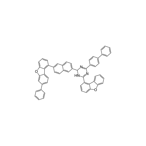 c1ccc(-c2ccc(C3=NC(c4ccc5cc(-c6cccc7oc8cc(-c9ccccc9)ccc8c67)ccc5c4)NC(c4cccc5oc6ccccc6c45)=N3)cc2)cc1